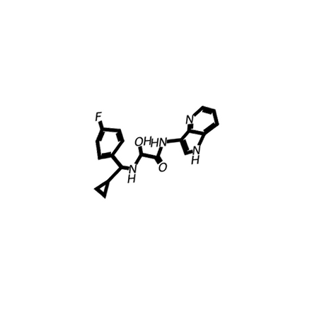 O=C(Nc1c[nH]c2cccnc12)C(O)NC(c1ccc(F)cc1)C1CC1